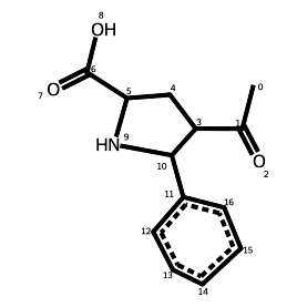 CC(=O)C1CC(C(=O)O)NC1c1ccccc1